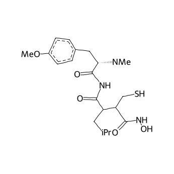 CN[C@@H](Cc1ccc(OC)cc1)C(=O)NC(=O)C(CC(C)C)C(CS)C(=O)NO